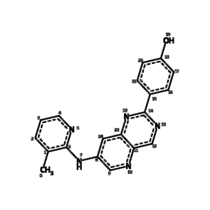 Cc1cccnc1Nc1cnc2cnc(-c3ccc(O)cc3)nc2c1